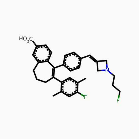 Cc1cc(C2=C(c3ccc(C=C4CN(CCCF)C4)cc3)c3ccc(C(=O)O)cc3CCC2)c(C)cc1F